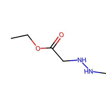 CCOC(=O)CNNC